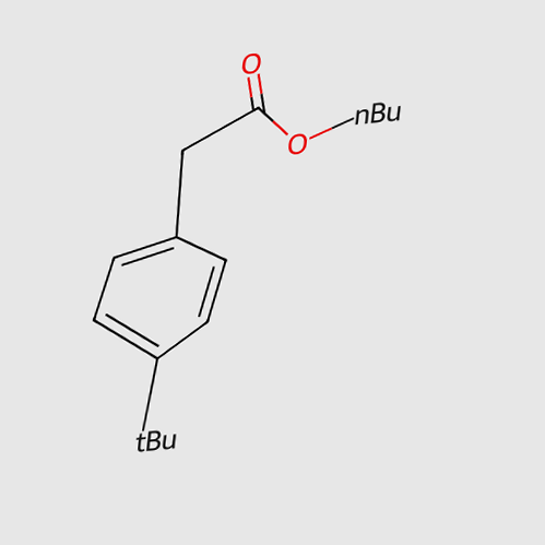 CCCCOC(=O)Cc1ccc(C(C)(C)C)cc1